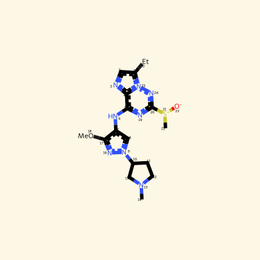 CCc1cnc2c(Nc3cn(C4CCN(C)C4)nc3OC)nc([S+](C)[O-])nn12